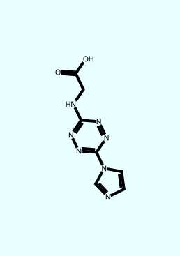 O=C(O)CNc1nnc(-n2ccnc2)nn1